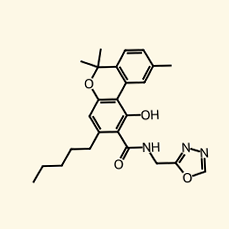 CCCCCc1cc2c(c(O)c1C(=O)NCc1nnco1)-c1cc(C)ccc1C(C)(C)O2